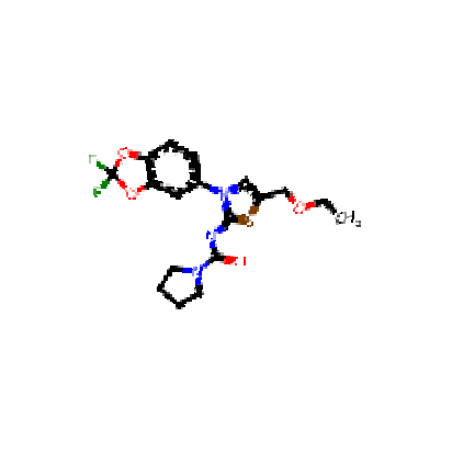 CCOCc1cn(-c2ccc3c(c2)OC(F)(F)O3)c(=NC(=O)N2CCCC2)s1